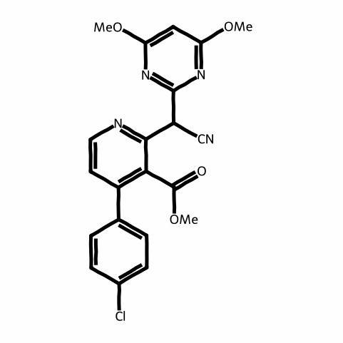 COC(=O)c1c(-c2ccc(Cl)cc2)ccnc1C(C#N)c1nc(OC)cc(OC)n1